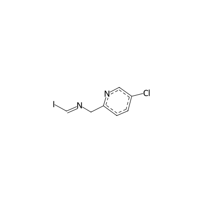 Clc1ccc(C/N=C/I)nc1